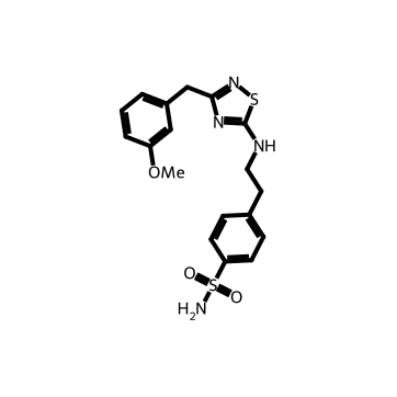 COc1cccc(Cc2nsc(NCCc3ccc(S(N)(=O)=O)cc3)n2)c1